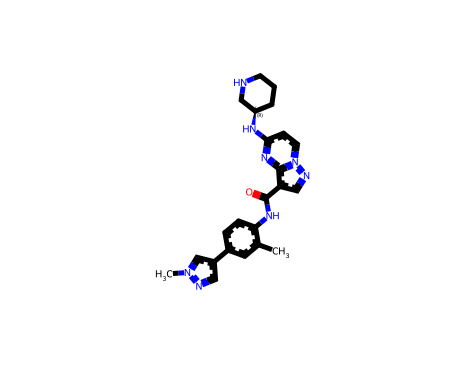 Cc1cc(-c2cnn(C)c2)ccc1NC(=O)c1cnn2ccc(N[C@@H]3CCCNC3)nc12